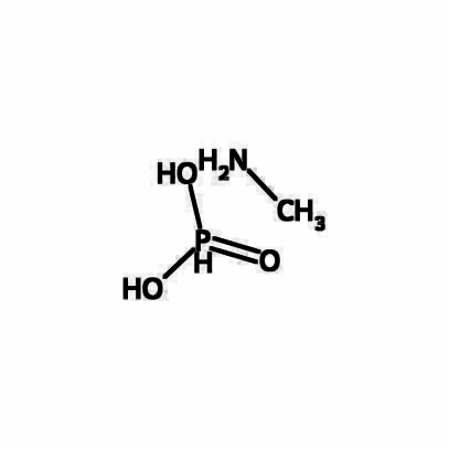 CN.O=[PH](O)O